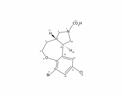 O=C(O)N1C[C@H]2CCOc3c(Br)cc(Cl)cc3[C@@H]2C1